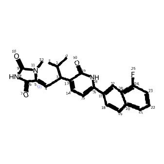 CC(C)C(/C=C1/C(=O)NC(=O)N1C)c1ccc(-c2ccc3cccc(F)c3c2)[nH]c1=O